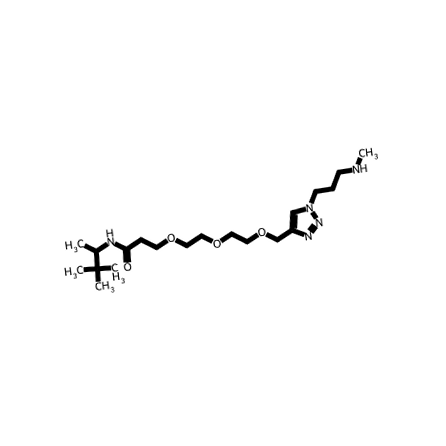 CNCCCn1cc(COCCOCCOCCC(=O)NC(C)C(C)(C)C)nn1